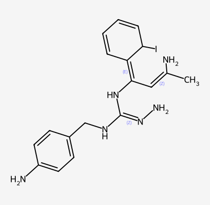 C/C(N)=C/C(N/C(=N\N)NCc1ccc(N)cc1)=C1/C=CC=CC1I